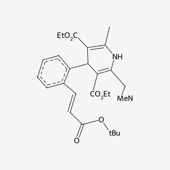 CCOC(=O)C1=C(C)NC(CNC)=C(C(=O)OCC)C1c1ccccc1C=CC(=O)OC(C)(C)C